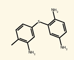 Cc1ccc(Sc2cc(N)ccc2N)cc1N